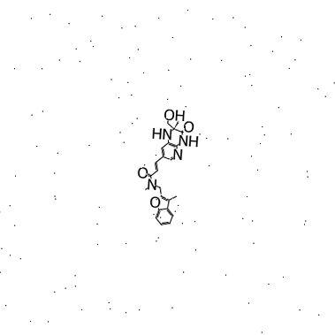 Cc1c(CN(C)C(=O)/C=C/c2cnc3c(c2)N[C@](C)(CO)C(=O)N3)oc2ccccc12